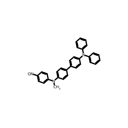 CN(c1ccc(N=O)cc1)c1ccc(-c2ccc(N(c3ccccc3)c3ccccc3)cc2)cc1